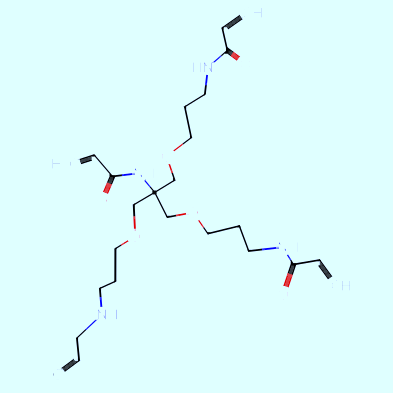 C=CCNCCCOCC(COCCCNC(=O)C=C)(COCCCNC(=O)C=C)NC(=O)C=C